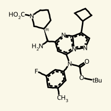 Cc1cc(F)cc(N(C(=O)OC(C)(C)C)c2cc(C(N)[C@@H]3CCCN(C(=O)O)C3)nc3c(C4CCC4)cnn23)c1